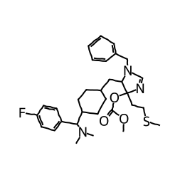 COC(=O)OC1(CCSC)N=CN(Cc2ccccc2)C1CC1CCC(C(c2ccc(F)cc2)N(C)C)CC1